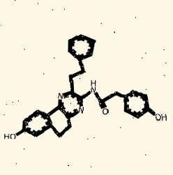 O=C(Cc1ccc(O)cc1)Nc1nc2c(nc1CCc1ccccc1)-c1ccc(O)cc1CC2